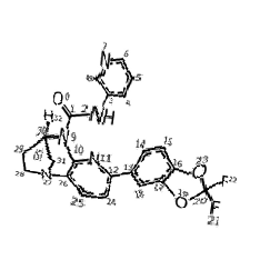 O=C(Nc1cccnc1)N1c2nc(-c3ccc4c(c3)OC(F)(F)O4)ccc2N2CC[C@H]1C2